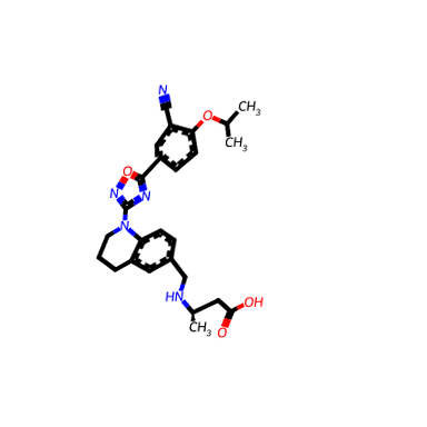 CC(C)Oc1ccc(-c2nc(N3CCCc4cc(CN[C@H](C)CC(=O)O)ccc43)no2)cc1C#N